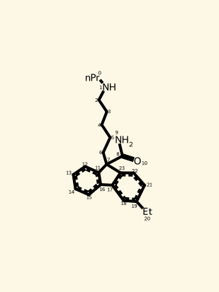 CCCNCCCCCC1(C(N)=O)c2ccccc2-c2cc(CC)ccc21